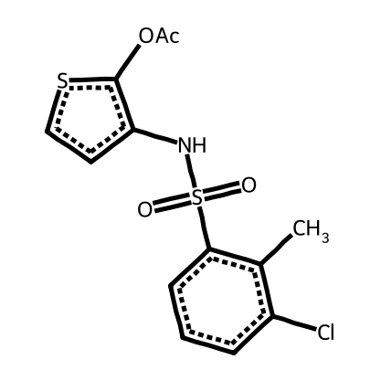 CC(=O)Oc1sccc1NS(=O)(=O)c1cccc(Cl)c1C